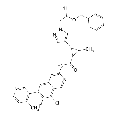 [2H]C(Cn1cc(C2C(C)C2C(=O)Nc2cc3cc(-c4cnccc4C)c(F)c(Cl)c3cn2)cn1)OCc1ccccc1